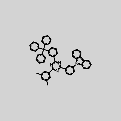 Cc1cc(C)cc(-c2nc(-c3cccc(-n4c5ccccc5c5ccccc54)c3)nc(-c3cccc(C(c4ccccc4)(c4ccccc4)c4ccccc4)c3)n2)c1